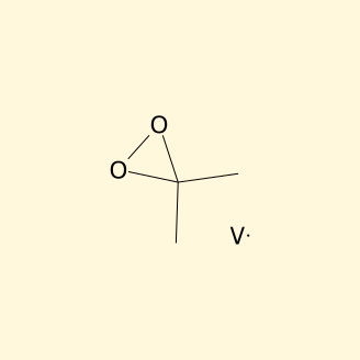 CC1(C)OO1.[V]